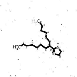 CCCCCCCC(CCCCCC)C1=NCCN1